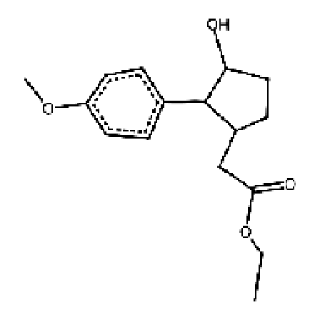 CCOC(=O)CC1CCC(O)C1c1ccc(OC)cc1